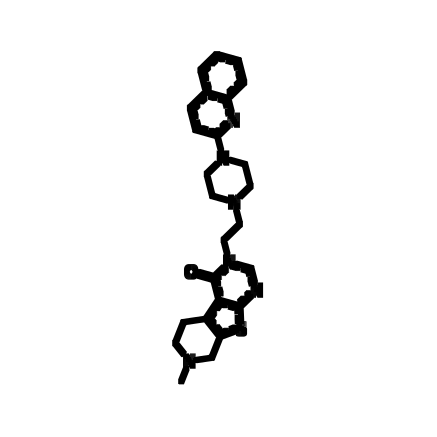 CN1CCc2c(sc3ncn(CCN4CCN(c5ccc6ccccc6n5)CC4)c(=O)c23)C1